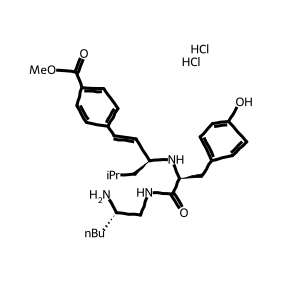 CCCC[C@H](N)CNC(=O)[C@H](Cc1ccc(O)cc1)N[C@H](/C=C/c1ccc(C(=O)OC)cc1)CC(C)C.Cl.Cl